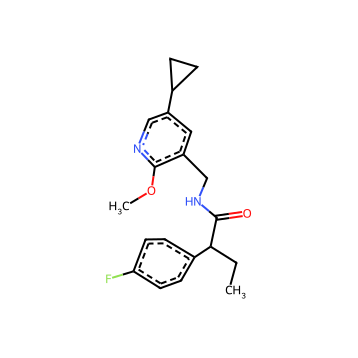 CCC(C(=O)NCc1cc(C2CC2)cnc1OC)c1ccc(F)cc1